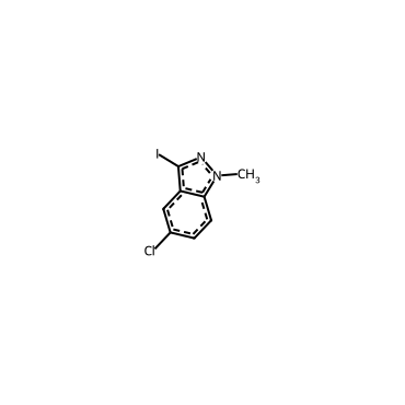 Cn1nc(I)c2cc(Cl)ccc21